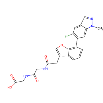 Cn1ncc2cc(F)c(-c3cccc4c(CC(=O)NCC(=O)NCC(=O)O)coc34)cc21